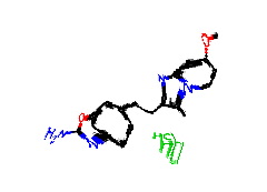 COc1ccn2c(C)c(CCc3ccc4nc(N)oc4c3)nc2c1.Cl.Cl